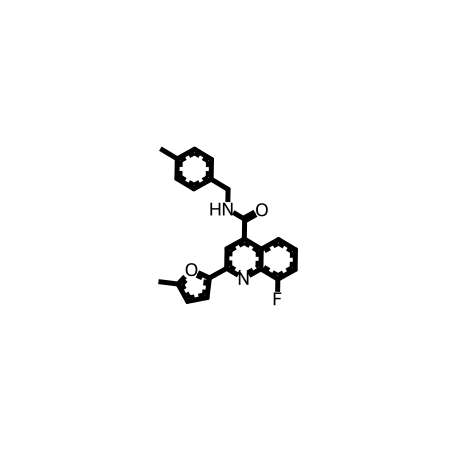 Cc1ccc(CNC(=O)c2cc(-c3ccc(C)o3)nc3c(F)cccc23)cc1